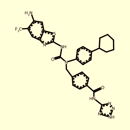 Nc1cc2sc(NC(=O)N(Cc3ccc(C(=O)Nc4nn[nH]n4)cc3)c3ccc(C4CCCCC4)cc3)nc2cc1C(F)(F)F